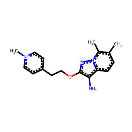 Cc1ccc2c(N)c(OCCc3cc[n+](C)cc3)nn2c1C